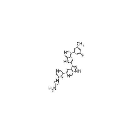 Cc1cc(F)cc(-c2cncc3[nH]c(-c4n[nH]c5cnc(-c6cncc(N7CC(N)C7)n6)cc45)cc23)c1